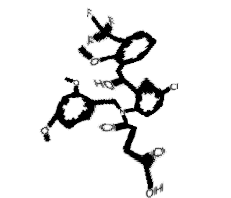 COc1ccc(CN(C(=O)C=CC(=O)O)c2ccc(Cl)cc2C(O)c2cccc(C(F)(F)F)c2OC)c(OC)c1